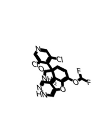 NC(=O)C1(c2c(Cl)cncc2Cl)C=CC(OC(F)F)=c2oc3c(c21)C=NNC=3